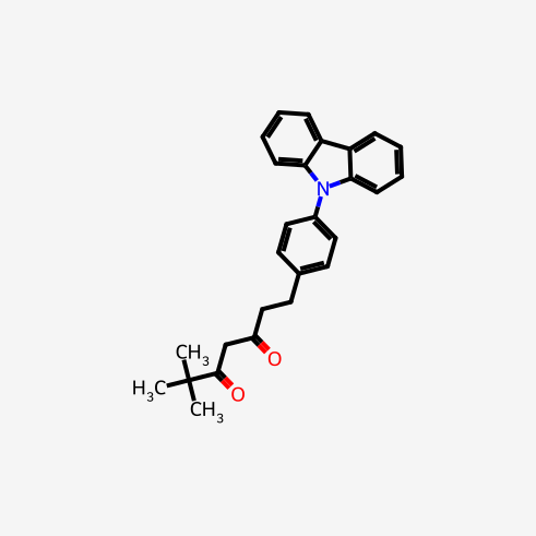 CC(C)(C)C(=O)CC(=O)CCc1ccc(-n2c3ccccc3c3ccccc32)cc1